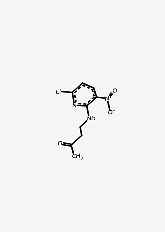 CC(=O)CCNc1nc(Cl)ccc1[N+](=O)[O-]